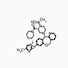 CB(O)N1CCN([C@@H]2c3ccc(Cl)cc3OCc3cccnc32)C[C@H]1C(=O)N1CCC[C@@H](Cn2cnc(C)c2)C1